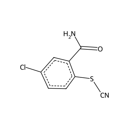 N#CSc1ccc(Cl)cc1C(N)=O